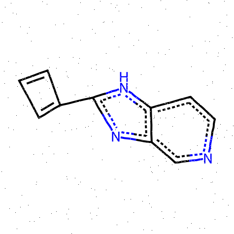 C1=CC(c2nc3cnccc3[nH]2)=C1